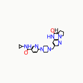 O=C(NC1CC1)c1ccc(N2CCN(Cc3cnc4c(c3)NC(=O)[C@@H]3CCCN43)CC2)nc1